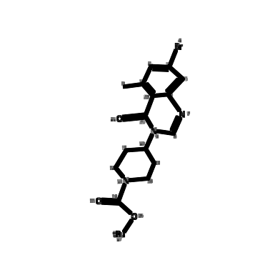 Cc1cc(Br)cc2ncn(C3CCN(C(=O)OC(C)(C)C)CC3)c(=O)c12